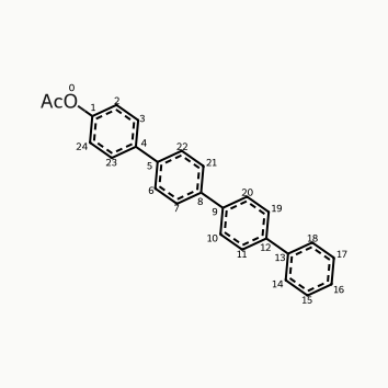 CC(=O)Oc1ccc(-c2ccc(-c3ccc(-c4ccccc4)cc3)cc2)cc1